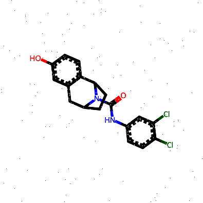 O=C(Nc1ccc(Cl)c(Cl)c1)N1C2CCC1c1ccc(O)cc1C2